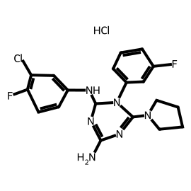 Cl.NC1=NC(Nc2ccc(F)c(Cl)c2)N(c2cccc(F)c2)C(N2CCCC2)=N1